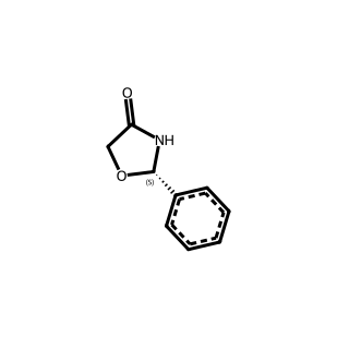 O=C1CO[C@@H](c2ccccc2)N1